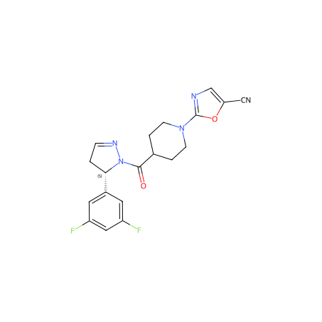 N#Cc1cnc(N2CCC(C(=O)N3N=CC[C@H]3c3cc(F)cc(F)c3)CC2)o1